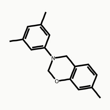 Cc1cc(C)cc(N2COc3cc(C)ccc3C2)c1